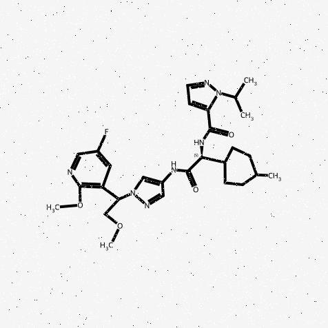 COCC(c1cc(F)cnc1OC)n1cc(NC(=O)[C@@H](NC(=O)c2ccnn2C(C)C)C2CCC(C)CC2)cn1